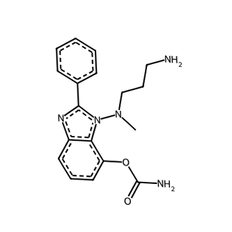 CN(CCCN)n1c(-c2ccccc2)nc2cccc(OC(N)=O)c21